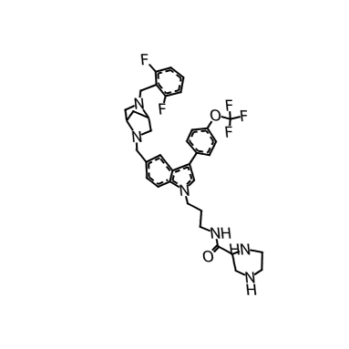 O=C(NCCCn1cc(-c2ccc(OC(F)(F)F)cc2)c2cc(CN3CC4CC3CN4Cc3c(F)cccc3F)ccc21)C1CNCCN1